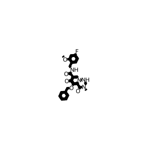 COc1cc(F)ccc1CNC(=O)c1cn2c(c(OCc3ccccc3)c1=O)C(=O)N(C)CN2